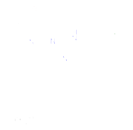 CCOC(=O)/C=C/c1cccc(-c2cnc(Nc3ccc(F)c(Cl)c3)nc2N[C@@H]2CCOC2)c1